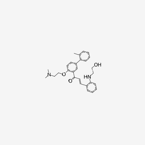 Cc1ccccc1-c1ccc(OCCN(C)C)c(C(=O)C=Cc2ccccc2NCCO)c1